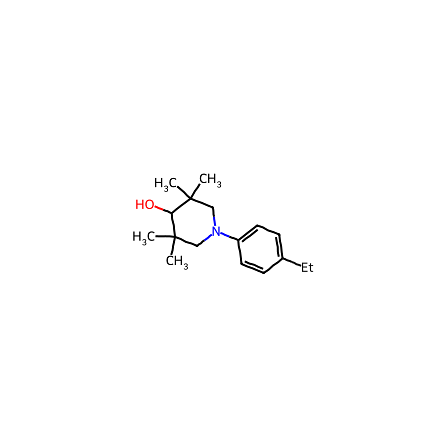 CCc1ccc(N2CC(C)(C)C(O)C(C)(C)C2)cc1